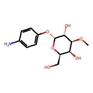 CO[C@H]1[C@@H](O)[C@@H](CO)O[C@H](Oc2ccc(N)cc2)[C@@H]1O